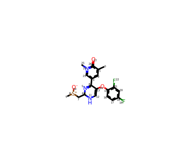 Cc1cc(C2=NC(C[S+](C)[O-])NC=C2Oc2ccc(F)cc2F)cn(C)c1=O